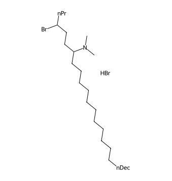 Br.CCCCCCCCCCCCCCCCCCCCCC(CCC(Br)CCC)N(C)C